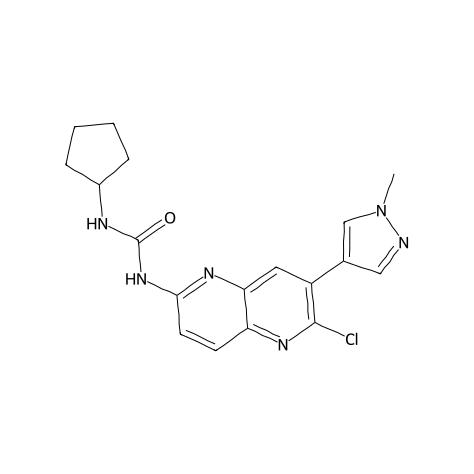 Cn1cc(-c2cc3nc(NC(=O)NC4CCCC4)ccc3nc2Cl)cn1